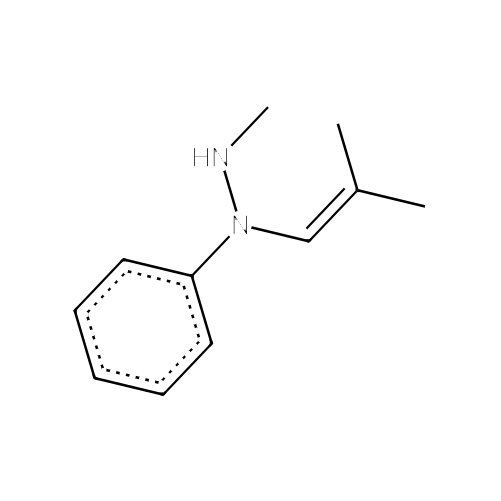 CNN(C=C(C)C)c1ccccc1